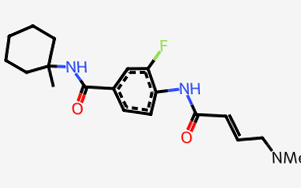 CNC/C=C/C(=O)Nc1ccc(C(=O)NC2(C)CCCCC2)cc1F